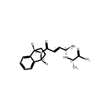 CC[C@H](C)[C@@H](/C=C/C(=O)N1[C@@H]2CC[C@H]1c1ccccc12)N[C@@H](C)C(N)=O